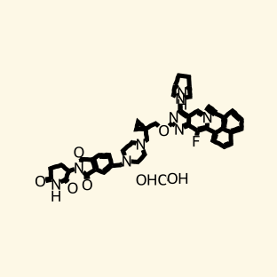 C#Cc1cccc2cccc(-c3ncc4c(N5CC6CCC(C5)N6)nc(OCC5(CN6CCN(Cc7ccc8c(c7)C(=O)N(C7CCC(=O)NC7=O)C8=O)CC6)CC5)nc4c3F)c12.O=CO